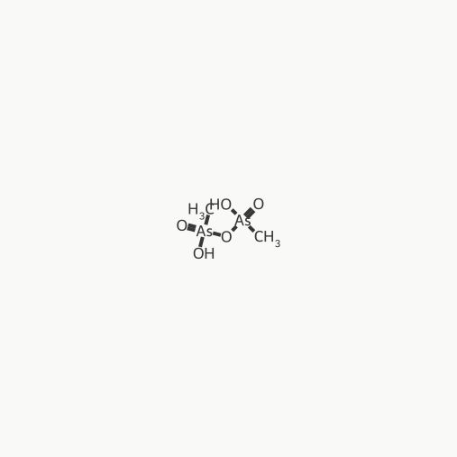 C[As](=O)(O)O[As](C)(=O)O